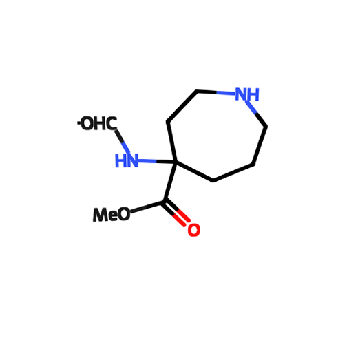 COC(=O)C1(N[C]=O)CCCNCC1